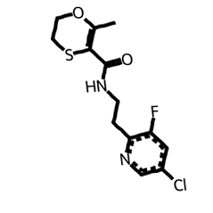 CC1=C(C(=O)NCCc2ncc(Cl)cc2F)SCCO1